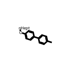 CCCCCCCOc1ccc(-c2ccc(C)cc2)cc1